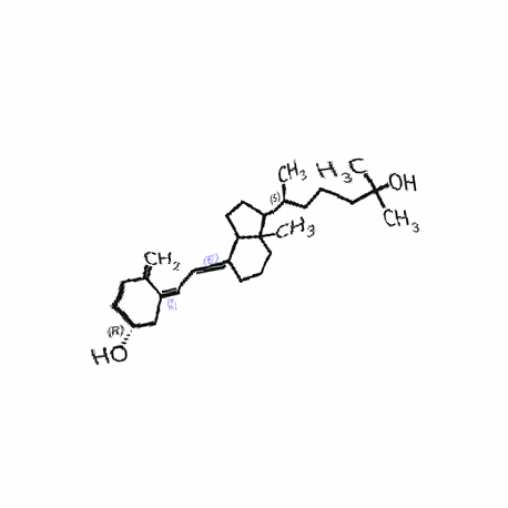 C=C1CC[C@@H](O)C/C1=C/C=C1\CCCC2(C)C1CCC2[C@@H](C)CCCC(C)(C)O